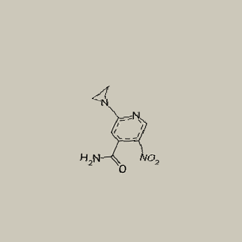 NC(=O)c1cc(N2CC2)ncc1[N+](=O)[O-]